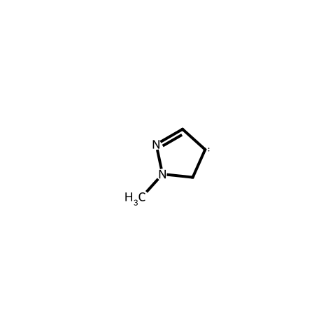 CN1C[C]C=N1